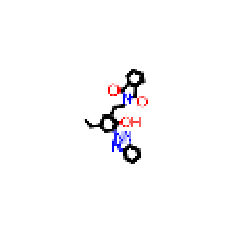 CCc1cc(CCN2C(=O)c3ccccc3C2=O)c(O)c(-n2nc3ccccc3n2)c1